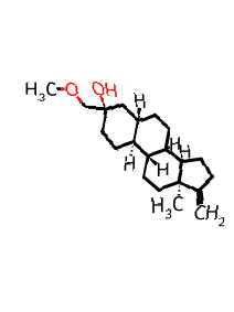 C=C1CC[C@H]2[C@@H]3CC[C@H]4C[C@@](O)(COC)CC[C@@H]4[C@H]3CC[C@]12C